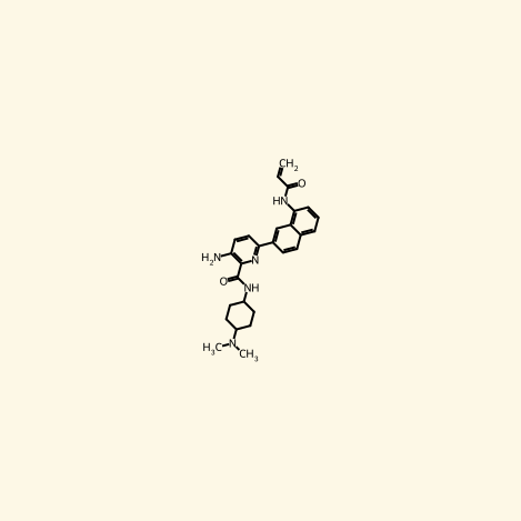 C=CC(=O)Nc1cccc2ccc(-c3ccc(N)c(C(=O)NC4CCC(N(C)C)CC4)n3)cc12